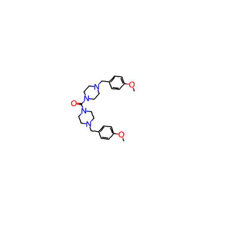 COc1ccc(CN2CCN(C(=O)N3CCN(Cc4ccc(OC)cc4)CC3)CC2)cc1